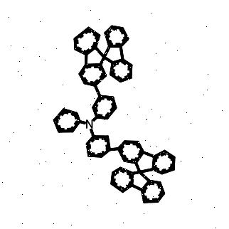 c1ccc(N(c2cccc(-c3ccc4c(c3)C3(c5ccccc5-c5ccccc53)c3ccccc3-4)c2)c2cccc(-c3ccc4c(c3)C3(c5ccccc5-c5ccccc53)c3ccccc3-4)c2)cc1